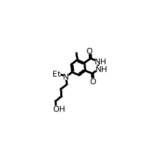 CCN(CCCCO)c1cc(C)c2c(=O)[nH][nH]c(=O)c2c1